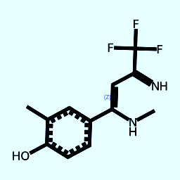 CN/C(=C\C(=N)C(F)(F)F)c1ccc(O)c(C)c1